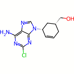 Nc1nc(Cl)nc2c1ncn2[C@H]1C=CC[C@@H](CO)C1